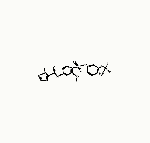 COc1cc(NC(=O)c2ccnn2C)ccc1S(=O)(=O)Nc1cccc(OC(F)(F)P)c1